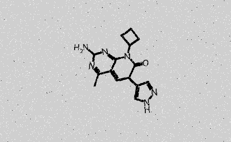 CC1=NC(N)N=C2C1=CC(c1cn[nH]c1)C(=O)N2C1CCC1